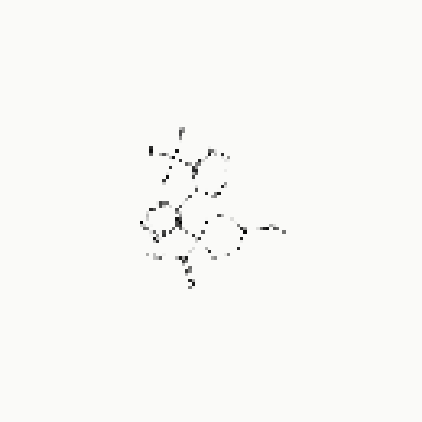 CN1CCC(C(=O)O)(c2sccc2-c2ccccc2C(F)(F)F)CC1